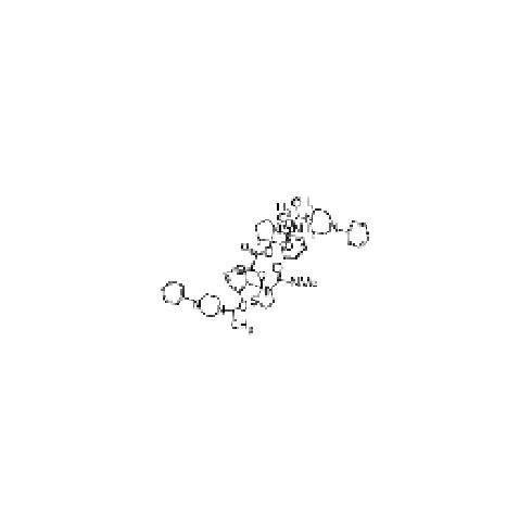 CNC(=O)N1CCSC1(OC(=O)C(=O)OC1(c2ccccc2OC(C)N2CCN(c3ccccc3)CC2)SCC[N+]1(C)C(N)=O)c1ccccc1OC(C)N1CCN(c2ccccc2)CC1